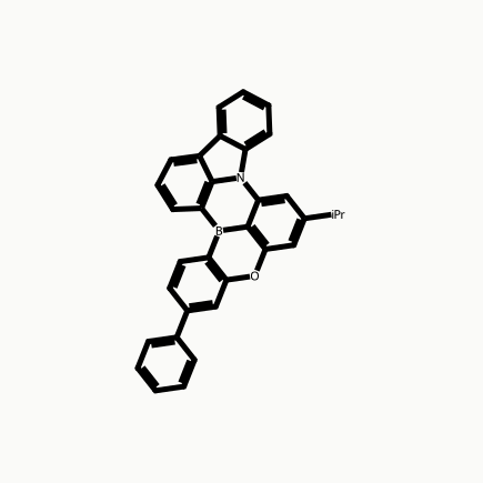 CC(C)c1cc2c3c(c1)-n1c4ccccc4c4cccc(c41)B3c1ccc(-c3ccccc3)cc1O2